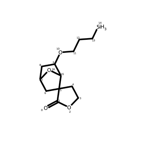 O=C1OCCC12CC1CC(OCCC[SiH3])C2O1